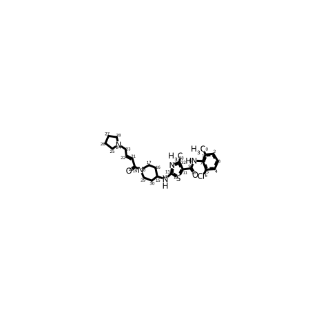 Cc1cccc(Cl)c1NC(=O)c1sc(NC2CCN(C(=O)/C=C/CN3CCCC3)CC2)nc1C